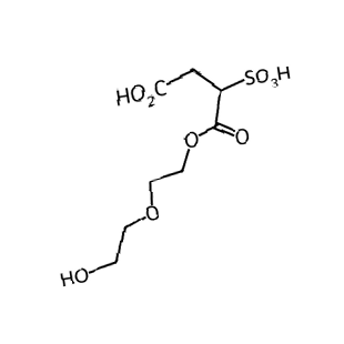 O=C(O)CC(C(=O)OCCOCCO)S(=O)(=O)O